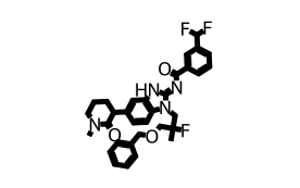 CN1CCCC(c2ccc3c(c2)[nH]/c(=N\C(=O)c2cccc(C(F)F)c2)n3CC(C)(F)COCc2ccccc2)C1=O